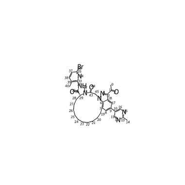 CC(=O)c1nn2c3c(cc(-c4cnc(C)nc4)cc13)CCCCCCCCCC[C@@H](C(=O)Nc1nc(Br)ccc1C)N(C)C(=O)C2